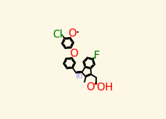 COc1cc(Oc2cccc(/C=C3/C(C)=C(CC(=O)O)c4cc(F)ccc43)c2)ccc1Cl